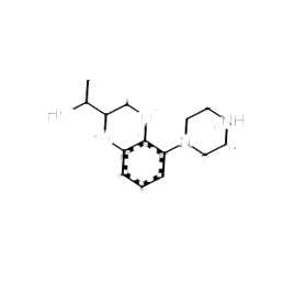 CC(O)C1COc2c(cccc2N2CCNCC2)O1